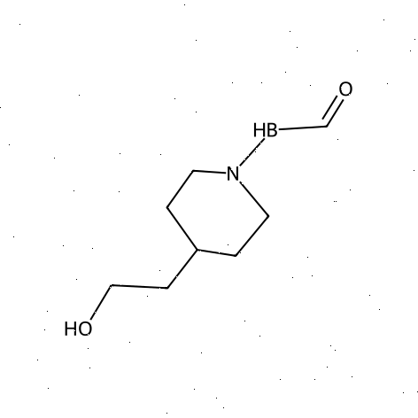 O=CBN1CCC(CCO)CC1